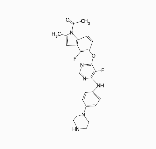 CC(=O)n1c(C)cc2c(F)c(Oc3ncnc(Nc4ccc(N5CCNCC5)cc4)c3F)ccc21